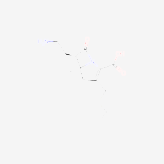 CCSCC1=C(C(=O)O)N2C(=O)[C@H](CCN)[C@@H]2C1